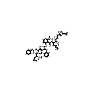 CNC(CC(C)C)C(=O)N(C)C(COCc1ccccc1)C(=O)NC(COc1ccnc(OC)c1C(=O)NC(CC(=O)O)C(=O)NCCc1nc(C2CC2)no1)Cc1ccccc1